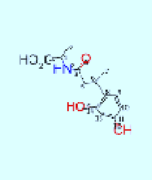 CC(NC(=O)CC(C)c1ccc(O)cc1O)C(=O)O